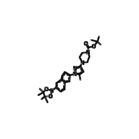 Cc1cc(N2CCN(C(=O)OC(C)(C)C)CC2)nn1-c1ccc2cc(B3OC(C)(C)C(C)(C)O3)ccc2c1